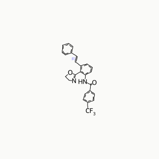 O=C(Nc1cccc(/C=C/c2ccccc2)c1C1=NCCO1)c1ccc(C(F)(F)F)cc1